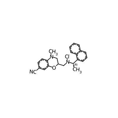 C[C@H](c1cccc2ccccc12)N(Cl)CC1CN(C)c2ccc(C#N)cc2O1